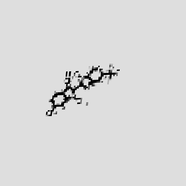 Cn1c(-c2c(Cl)c3ccc(Cl)cc3n2C)nc2cc(C(F)(F)F)ncc21